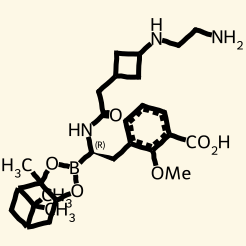 COc1c(C[C@H](NC(=O)CC2CC(NCCN)C2)B2OC3CC4CC(C4(C)C)C3(C)O2)cccc1C(=O)O